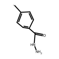 [CH]c1ccc(C(=O)NN)cc1